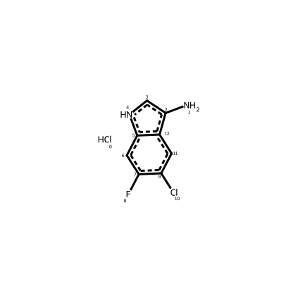 Cl.Nc1c[nH]c2cc(F)c(Cl)cc12